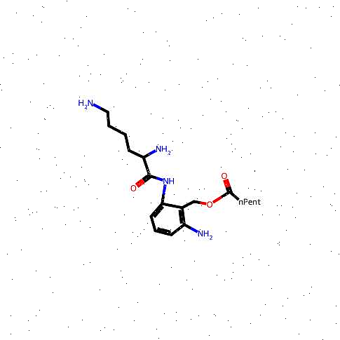 CCCCCC(=O)OCc1c(N)cccc1NC(=O)C(N)CCCCN